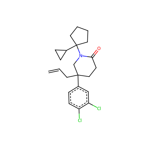 C=CCC1(c2ccc(Cl)c(Cl)c2)CCC(=O)N(C2(C3CC3)CCCC2)C1